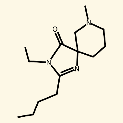 CCCCC1=NC2(CCCN(C)C2)C(=O)N1CC